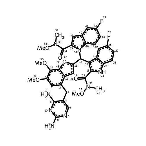 COc1cc(Cc2cnc(N)nc2N)c2cc(C(c3c(C(=O)N(C)OC)[nH]c4ccc(F)cc34)n3c(C(=O)N(C)OC)cc4cc(F)ccc43)oc2c1OC